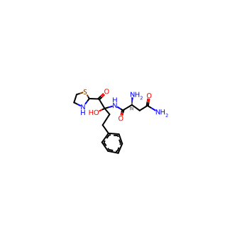 NC(=O)C[C@H](N)C(=O)NC(O)(CCc1ccccc1)C(=O)C1NCCS1